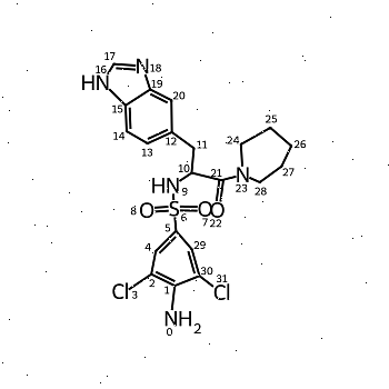 Nc1c(Cl)cc(S(=O)(=O)NC(Cc2ccc3[nH]cnc3c2)C(=O)N2CCCCC2)cc1Cl